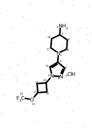 Cl.NC1CCN(c2cnn(C3CC(OC(F)(F)F)C3)c2)CC1